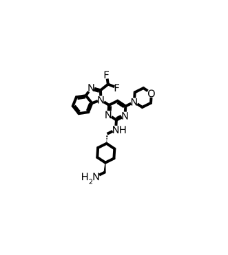 NC[C@H]1CC[C@H](CNc2nc(N3CCOCC3)cc(-n3c(C(F)F)nc4ccccc43)n2)CC1